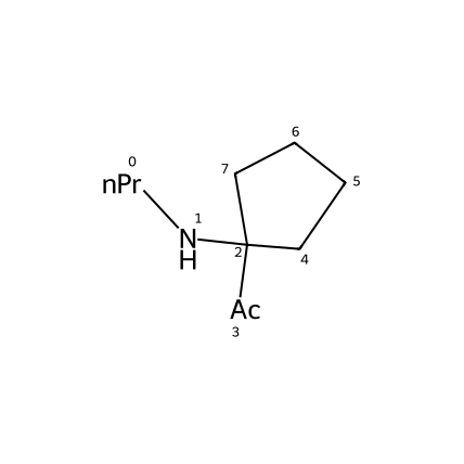 CCCNC1(C(C)=O)CCCC1